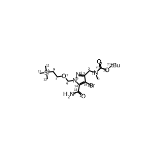 CN(Cc1nn(COCC[Si](C)(C)C)c(C(N)=O)c1Br)C(=O)OC(C)(C)C